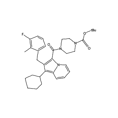 Cc1c(F)cccc1Cc1c(C2CCCCC2)c2ccccn2c1C(=O)N1CCN(C(=O)OC(C)(C)C)CC1